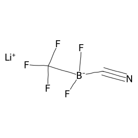 N#C[B-](F)(F)C(F)(F)F.[Li+]